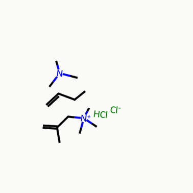 C=C(C)C[N+](C)(C)C.C=CCC.CN(C)C.Cl.[Cl-]